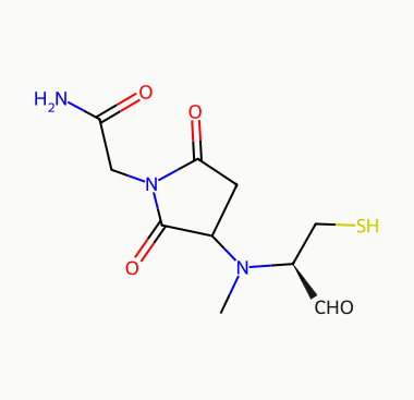 CN(C1CC(=O)N(CC(N)=O)C1=O)[C@H](C=O)CS